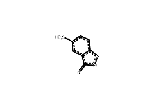 O=c1[nH]sc2ccc(S(=O)(=O)O)cc12